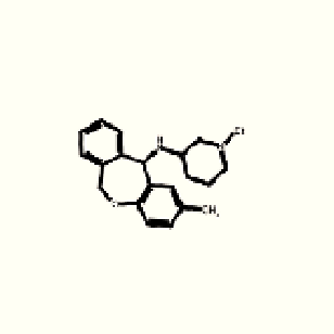 CCN1CCCC(NC2c3ccccc3COc3ccc(C)cc32)C1